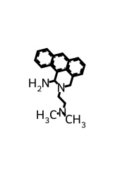 CN(C)CCN1Cc2cccc3cc4ccccc4c(c23)C1N